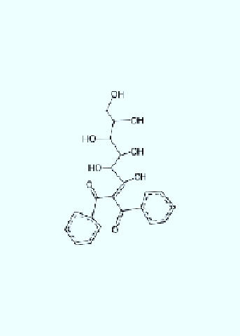 O=C(C(C(=O)c1ccccc1)=C(O)C(O)C(O)C(O)C(O)CO)c1ccccc1